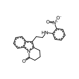 O=C1CCCc2c(CCNc3ccccc3[N+](=O)[O-])c3ccccc3n21